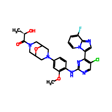 COc1cc(N2CC3CN(C(=O)[C@H](C)O)CC(C2)O3)ccc1Nc1ncc(Cl)c(-c2cnc3c(F)cccn23)n1